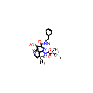 Cc1ccnc2c(O)c(C(=O)NCCC3CC=CCC3)nc(N(C)C(=O)C(=O)N(C)C)c12